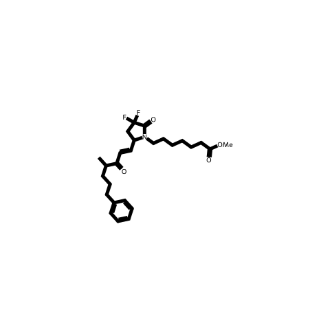 COC(=O)CCCCCCN1C(=O)C(F)(F)CC1C=CC(=O)C(C)CCCc1ccccc1